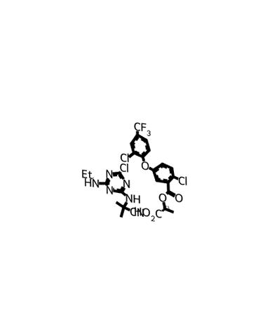 CCNc1nc(Cl)nc(NC(C)(C)C#N)n1.C[C@H](OC(=O)c1cc(Oc2ccc(C(F)(F)F)cc2Cl)ccc1Cl)C(=O)O